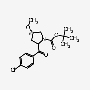 CO[C@@H]1CC(C(=O)c2ccc(Cl)cc2)N(C(=O)OC(C)(C)C)C1